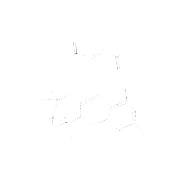 Cc1cc(C)c2cc3c(cc2n1)[C@H]1O[C@H]1C(C)(C)O3.O=C(O)C=CC(=O)O